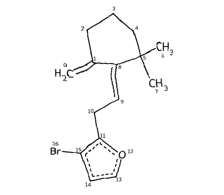 C=C1CCCC(C)(C)/C1=C/Cc1occc1Br